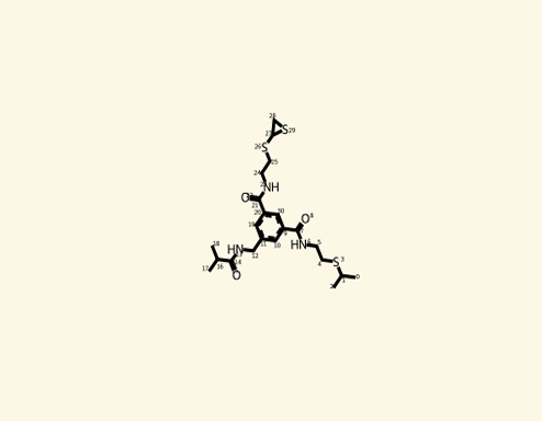 CC(C)SCCNC(=O)c1cc(CNC(=O)C(C)C)cc(C(=O)NCCSC2CS2)c1